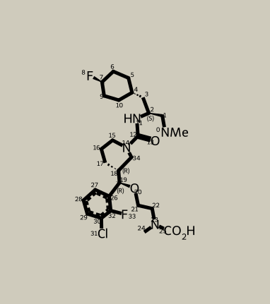 CNC[C@H](C[C@H]1CC[C@H](F)CC1)NC(=O)N1CCC[C@@H]([C@@H](OCCN(C)C(=O)O)c2cccc(Cl)c2F)C1